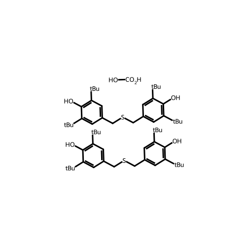 CC(C)(C)c1cc(CSCc2cc(C(C)(C)C)c(O)c(C(C)(C)C)c2)cc(C(C)(C)C)c1O.CC(C)(C)c1cc(CSCc2cc(C(C)(C)C)c(O)c(C(C)(C)C)c2)cc(C(C)(C)C)c1O.O=C(O)O